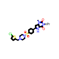 CCCn1c(=O)c2[nH]c(-c3ccc(S(=O)(=O)N4CCN(Cc5ccc(Cl)s5)CC4)cc3)cc2n(C)c1=O